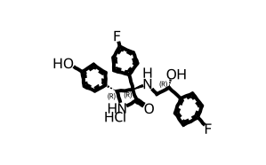 Cl.O=C1N[C@H](c2ccc(O)cc2)[C@]1(NC[C@H](O)c1ccc(F)cc1)c1ccc(F)cc1